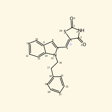 O=C1NC(=O)/C(=C/c2cc3ccccc3n2CCc2ccccc2)S1